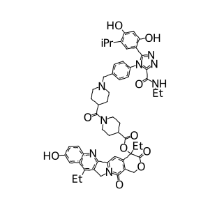 CCNC(=O)c1nnc(-c2cc(C(C)C)c(O)cc2O)n1-c1ccc(CN2CCC(C(=O)N3CCC(C(=O)OC4(CC)C(=O)OCc5c4cc4n(c5=O)Cc5c-4nc4ccc(O)cc4c5CC)CC3)CC2)cc1